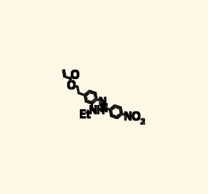 C=CC(=O)OCCc1ccc(N=Nc2ccc([N+](=O)[O-])cc2)c(NCC)c1